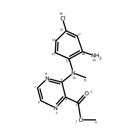 COC(=O)c1nccnc1N(C)c1ccc(Cl)cc1N